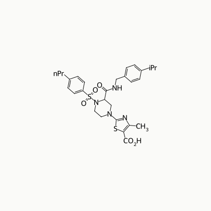 CCCc1ccc(S(=O)(=O)N2CCN(c3nc(C)c(C(=O)O)s3)CC2C(=O)NCc2ccc(C(C)C)cc2)cc1